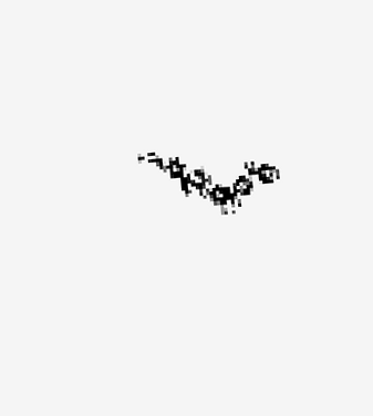 CCc1cc(Oc2nccn3c(-c4cn(CCO)nc4C(F)(F)F)cnc23)ccc1C(=O)N1CCN(C(=O)C2CCOCC2)CC1